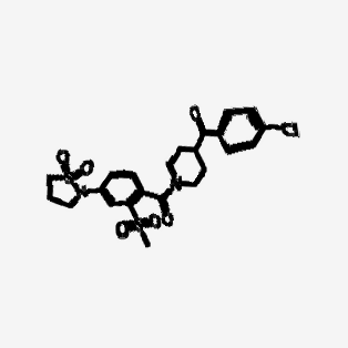 CS(=O)(=O)c1cc(N2CCCS2(=O)=O)ccc1C(=O)N1CCC(C(=O)c2ccc(Cl)cc2)CC1